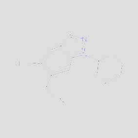 Cc1cc2cnn(C3CCCCO3)c2cc1CC#N